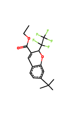 CCOC(=O)C1=Cc2ccc(C(C)(C)C)cc2OC1C(F)(F)C(F)(F)F